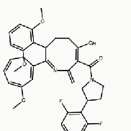 C=C1/N=C(/C2=CC(OC)=CC=CC2)C(c2c(OC)cccc2OC)CC/C(O)=C\1C(=O)N1CCC(c2c(F)cccc2F)C1